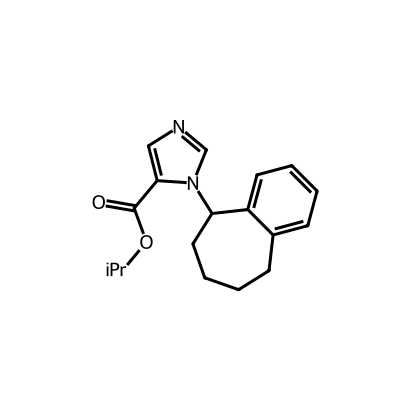 CC(C)OC(=O)c1cncn1C1CCCCc2ccccc21